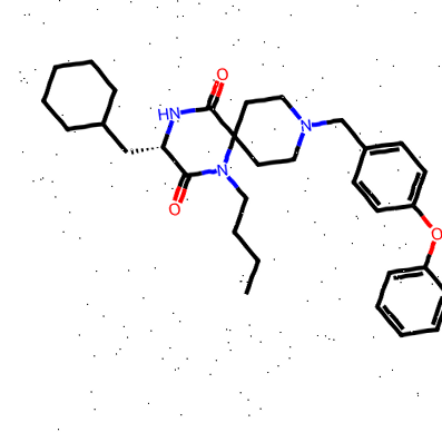 CCCCN1C(=O)[C@H](CC2CCCCC2)NC(=O)C12CCN(Cc1ccc(Oc3ccccc3)cc1)CC2